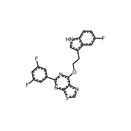 Fc1cc(F)cc(-c2nc(OCCc3c[nH]c4ccc(F)cc34)c3ncsc3n2)c1